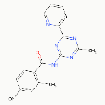 Cc1nc(NC(=O)c2ccc(N=O)cc2C)nc(-c2ccccn2)n1